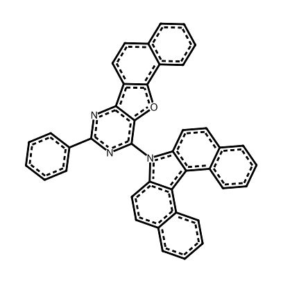 c1ccc(-c2nc(-n3c4ccc5ccccc5c4c4c5ccccc5ccc43)c3oc4c5ccccc5ccc4c3n2)cc1